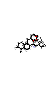 CC(C)=C/C(=C\N(C)C=O)c1ccc2c(c1Cc1ccncc1)CCC(=O)N2